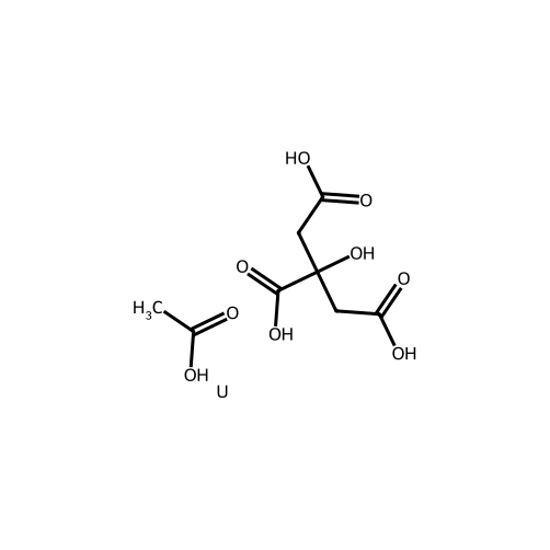 CC(=O)O.O=C(O)CC(O)(CC(=O)O)C(=O)O.[U]